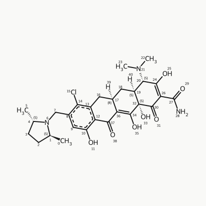 C[C@H]1CC[C@H](C)N1Cc1cc(O)c2c(c1Cl)C[C@H]1C[C@H]3[C@H](N(C)C)C(O)=C(C(N)=O)C(=O)[C@@]3(O)C(O)=C1C2=O